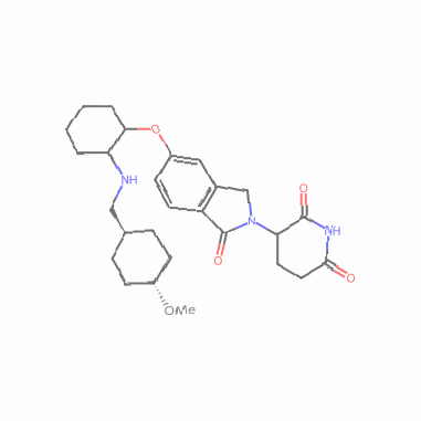 CO[C@H]1CC[C@H](CNC2CCCCC2Oc2ccc3c(c2)CN(C2CCC(=O)NC2=O)C3=O)CC1